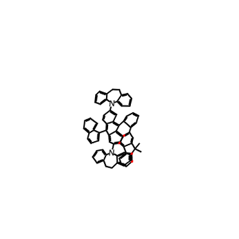 CC1(C)c2ccccc2-c2ccc(-c3ccccc3-c3c4cc(N5c6ccccc6CCc6ccccc65)ccc4c(-c4cccc5ccccc45)c4cc(N5c6ccccc6CCc6ccccc65)ccc34)cc21